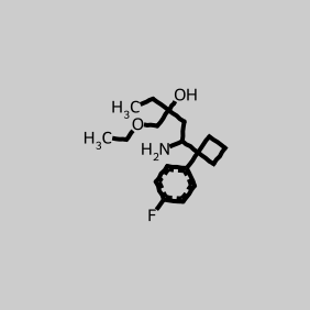 CCOCC(O)(CC)CC(N)C1(c2ccc(F)cc2)CCC1